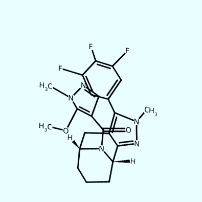 COc1c(C(=O)N2[C@@H]3CCC[C@H]2c2nn(C)c(-c4cc(F)c(F)c(F)c4)c2C3)cnn1C